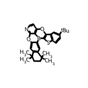 CC(C)(C)c1ccc2sc3c(c2c1)Oc1ccnc2c1B3c1cc3c(cc1O2)C(C)(C)CCC3(C)C